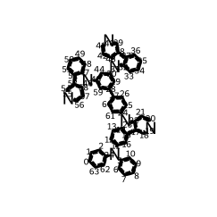 c1ccc(N(c2ccccc2)c2ccc3c(c2)c2cnccc2n3-c2ccc(-c3cc(-n4c5ccccc5c5cnccc54)cc(-n4c5ccccc5c5cnccc54)c3)cc2)cc1